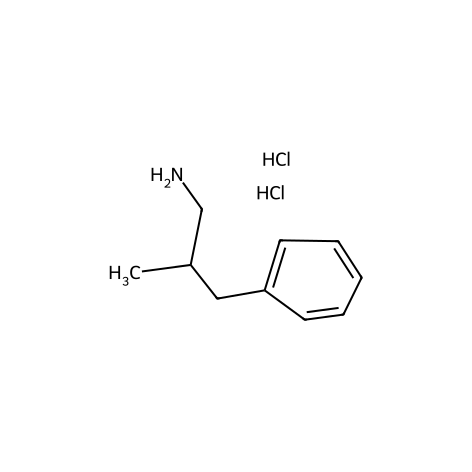 CC(CN)Cc1ccccc1.Cl.Cl